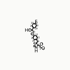 O=CC(=O)C1NCSC1=Cc1ccc(OCC(O)c2ccc(F)cc2)cc1